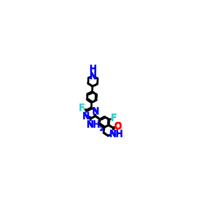 Nc1nc(F)c(-c2ccc(C3CCNCC3)cc2)nc1-c1cc(F)c2c(c1)CCNC2=O